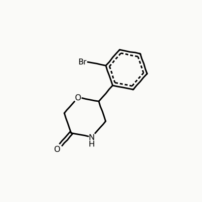 O=C1COC(c2ccccc2Br)CN1